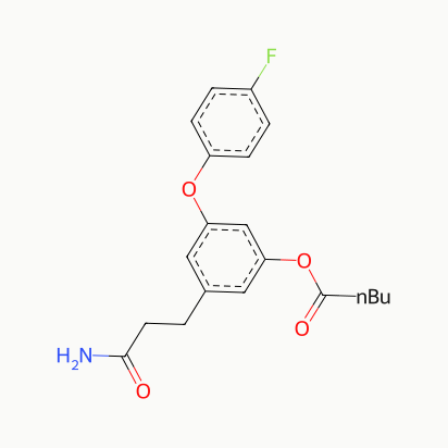 CCCCC(=O)Oc1cc(CCC(N)=O)cc(Oc2ccc(F)cc2)c1